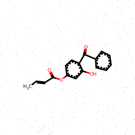 CC=CC(=O)Oc1ccc(C(=O)c2ccccc2)c(O)c1